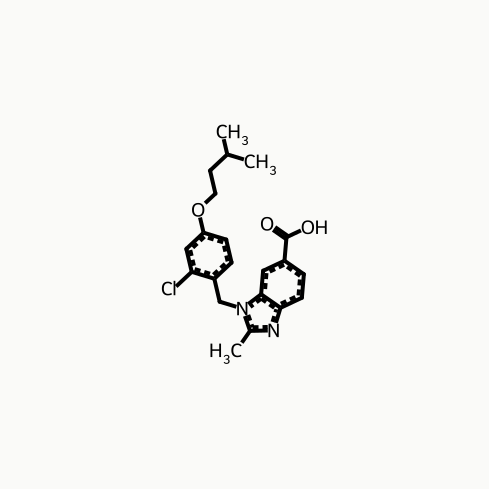 Cc1nc2ccc(C(=O)O)cc2n1Cc1ccc(OCCC(C)C)cc1Cl